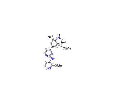 CNCC1(C)CNc2c(C#N)cc(-c3ccnc(Nc4cccnc4OC)n3)cc21